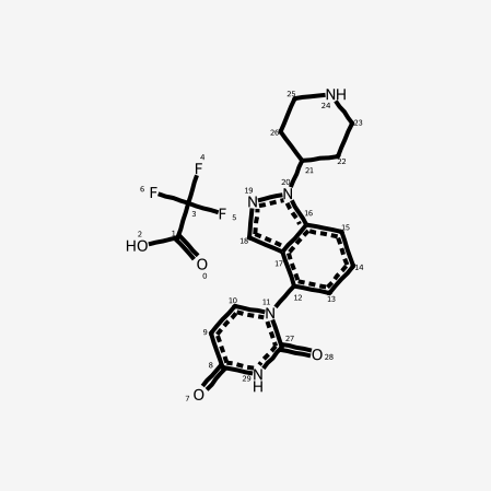 O=C(O)C(F)(F)F.O=c1ccn(-c2cccc3c2cnn3C2CCNCC2)c(=O)[nH]1